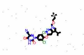 CC(C)c1cn(COCC[Si](C)(C)C)c2nnc(Oc3c(Cl)cc(-n4nc(C#N)c(=O)[nH]c4=O)cc3Cl)cc12